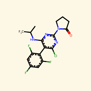 CC(Nc1nc(N2CCCC2=O)nc(Cl)c1-c1c(F)cc(F)cc1F)C(F)(F)F